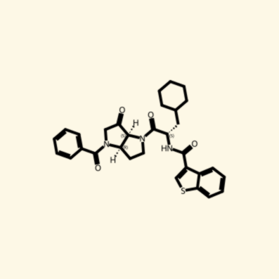 O=C(N[C@@H](CC1CCCCC1)C(=O)N1CC[C@@H]2[C@H]1C(=O)CN2C(=O)c1ccccc1)c1csc2ccccc12